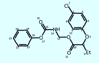 CCC(Oc1ccc(Cl)cc1)C(=O)OCNC(=O)Oc1ccccc1